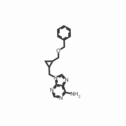 Nc1ncnc2c1ncn2CC1CC1COCc1ccccc1